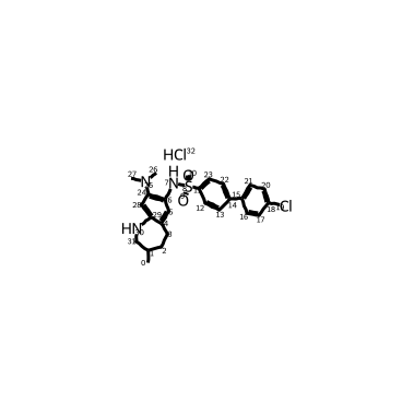 CC1CCc2cc(NS(=O)(=O)c3ccc(-c4ccc(Cl)cc4)cc3)c(N(C)C)cc2NC1.Cl